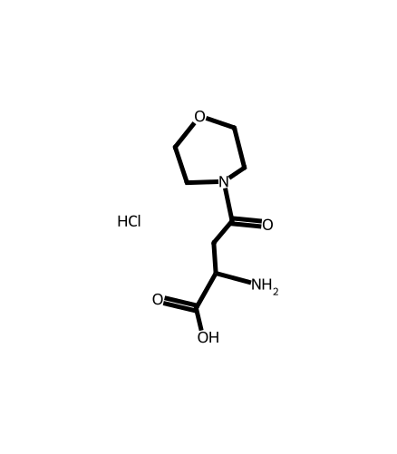 Cl.NC(CC(=O)N1CCOCC1)C(=O)O